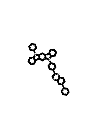 c1ccc(-c2ccc3nc(-c4ccc(-n5c6ccccc6c6cc7c(cc65)c5ccccc5n7-c5ccccc5)cc4)cnc3c2)cc1